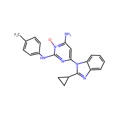 Nc1cc(-n2c(C3CC3)nc3ccccc32)nc(Nc2ccc(C(F)(F)F)cc2)[n+]1[O-]